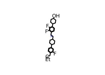 CCOCc1ccc(C2CCC(/C=C/c3ccc(C4CCC(O)CC4)c(F)c3F)CC2)cc1F